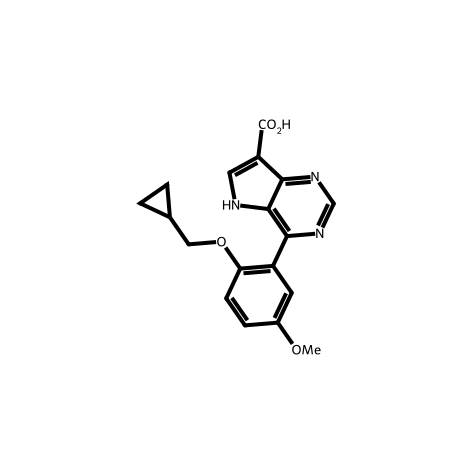 COc1ccc(OCC2CC2)c(-c2ncnc3c(C(=O)O)c[nH]c23)c1